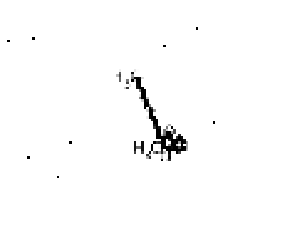 CCCCCCCCCCCCCC1=C(C)C(=O)c2ccccc2C1=O